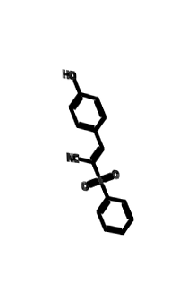 N#C/C(=C\c1ccc(O)cc1)S(=O)(=O)c1ccccc1